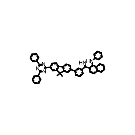 CC1(C)c2cc(-c3cccc(C(=N)c4ccc5ccccc5c4Nc4ccccc4)c3)ccc2-c2ccc(-c3nc(-c4ccccc4)nc(-c4ccccc4)n3)cc21